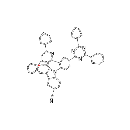 N#Cc1ccc2c(c1)c1ccccc1n2-c1ccc(-c2nc(-c3ccccc3)nc(-c3ccccc3)n2)cc1-c1nc(-c2ccccc2)cc(-c2ccccc2)n1